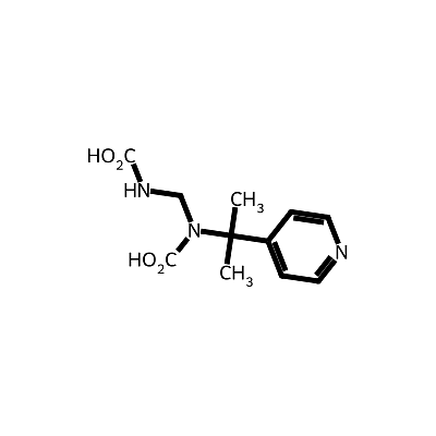 CC(C)(c1ccncc1)N(CNC(=O)O)C(=O)O